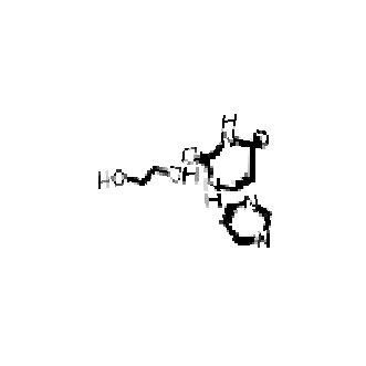 O=c1cc[nH]c(=O)[nH]1.OCCO.c1cncnc1